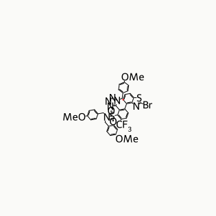 COc1ccc(CN(Cc2ccc(OC)cc2)S(=O)(=O)c2c(C(F)(F)F)ccc(-c3cccc4sc(Br)nc34)c2-c2nnnn2Cc2ccc(OC)cc2)cc1